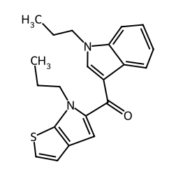 CCCn1cc(C(=O)c2cc3ccsc3n2CCC)c2ccccc21